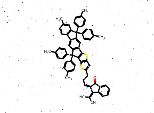 Cc1ccc(C2(c3ccc(C)cc3)c3cc(C)ccc3-c3cc4c(cc32)-c2sc3cc(CC/C=C5\C(=O)c6ccccc6C5=C(C#N)C#N)sc3c2C4(c2ccc(C)cc2)c2ccc(C)cc2)cc1